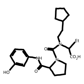 CCC(C(=O)O)N(CCC1CCCC1)C(=O)N1CCCC1C(=O)Nc1cccc(O)c1